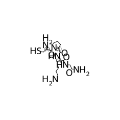 NCCCC[C@H](NC(=O)[C@@H]1CCCN1C(=O)[C@@H](N)CS)C(=O)NCC(N)=O